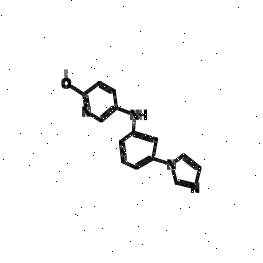 COc1ccc(Nc2cccc(-n3ccnc3)c2)cn1